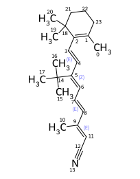 CC1=C(/C=C/C(=C/C=C/C(C)=C/C#N)C(C)(C)C)C(C)(C)CCC1